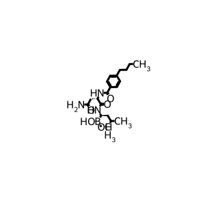 CCCCc1ccc(C(=O)N[C@@H](CC(N)=O)C(=O)N[C@@H](CC(C)C)B(O)O)cc1